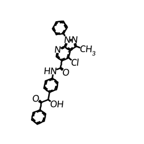 Cc1nn(-c2ccccc2)c2ncc(C(=O)Nc3ccc(C(O)C(=O)c4ccccc4)cc3)c(Cl)c12